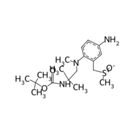 CN(CC(C)(C)NC(=O)OC(C)(C)C)c1ccc(N)cc1C[S+](C)[O-]